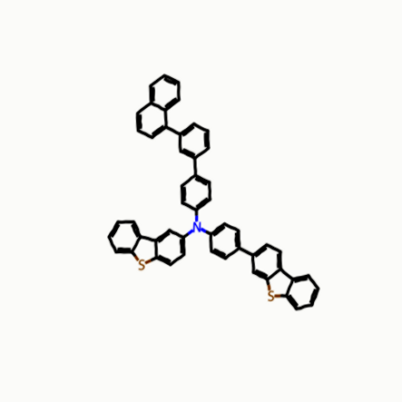 c1cc(-c2ccc(N(c3ccc(-c4ccc5c(c4)sc4ccccc45)cc3)c3ccc4sc5ccccc5c4c3)cc2)cc(-c2cccc3ccccc23)c1